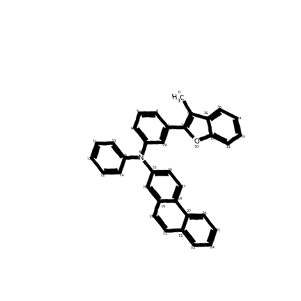 Cc1c(-c2cccc(N(c3ccccc3)c3ccc4c(ccc5ccccc54)c3)c2)oc2ccccc12